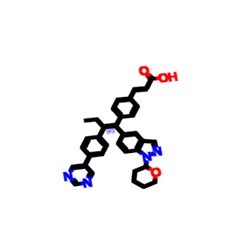 CC/C(=C(\c1ccc(C=CC(=O)O)cc1)c1ccc2c(cnn2C2CCCCO2)c1)c1ccc(-c2cncnc2)cc1